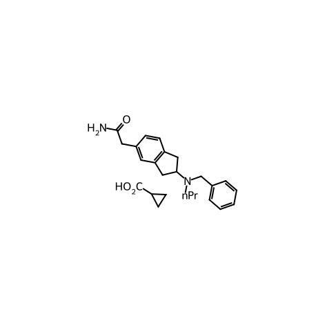 CCCN(Cc1ccccc1)C1Cc2ccc(CC(N)=O)cc2C1.O=C(O)C1CC1